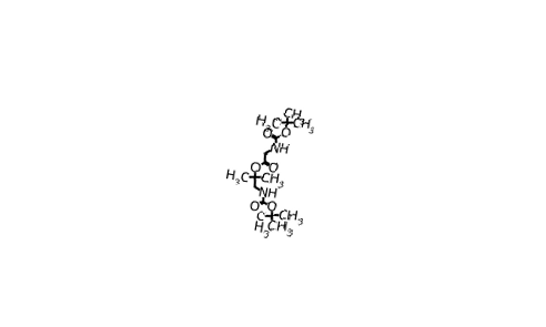 CC(C)(C)OC(=O)NCC(=O)OC(C)(C)CNC(=O)OC(C)(C)C